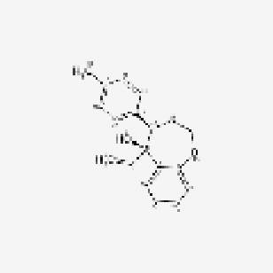 C=C[C@@]1(O)c2ccccc2OCC[C@@H]1c1ccc(C)cc1